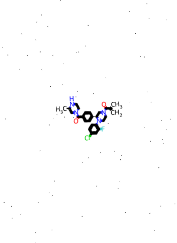 C=C(C)C(=O)N1CCN(c2ccc(Cl)cc2F)[C@H](c2ccc(C(=O)N3CCN[C@H](C)C3)cc2)C1